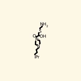 CC(C)CCCCN1CCN(C(=O)C(O)CSCCN)CC1